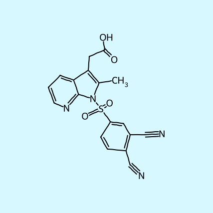 Cc1c(CC(=O)O)c2cccnc2n1S(=O)(=O)c1ccc(C#N)c(C#N)c1